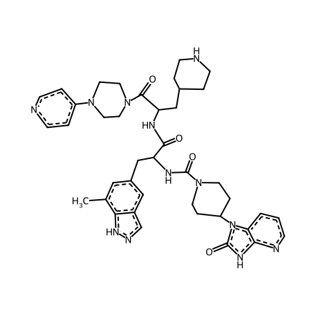 Cc1cc(CC(NC(=O)N2CCC(n3c(=O)[nH]c4ncccc43)CC2)C(=O)NC(CC2CCNCC2)C(=O)N2CCN(c3ccncc3)CC2)cc2cn[nH]c12